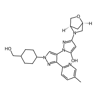 Cc1ccc(-c2nn(C3CCC(CO)CC3)cc2-n2nc(N3C[C@H]4C[C@@H]3CO4)cc2O)nc1